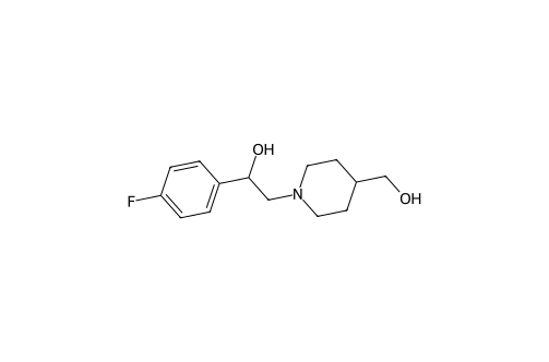 OCC1CCN(CC(O)c2ccc(F)cc2)CC1